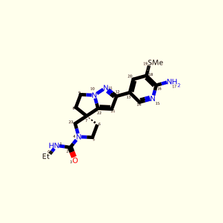 CCNC(=O)N1CC[C@@]2(CCn3nc(-c4cnc(N)c(SC)c4)cc32)C1